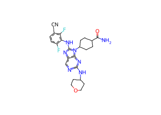 N#Cc1ccc(F)c(Nc2nc3cnc(NC4CCOCC4)nc3n2C2CCC(C(N)=O)CC2)c1F